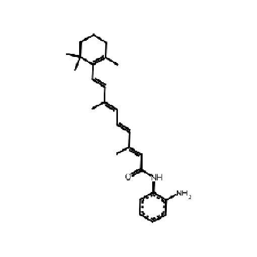 CC1=C(/C=C/C(C)=C/C=C/C(C)=C/C(=O)Nc2ccccc2N)C(C)(C)CCC1